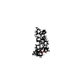 c1ccc(-c2ccc3oc4cccc(N(c5ccc6c(c5)C5(c7ccccc7O6)c6ccccc6-c6ccccc65)c5ccc6sc7cccc(-c8ccccc8)c7c6c5)c4c3c2)cc1